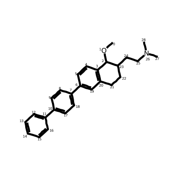 COC1c2ccc(-c3ccc(-c4ccccc4)cc3)cc2CCC1CCN(C)C